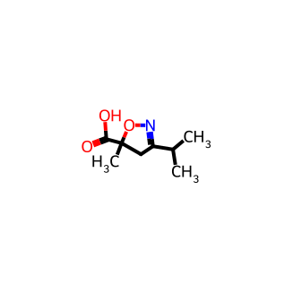 CC(C)C1=NOC(C)(C(=O)O)C1